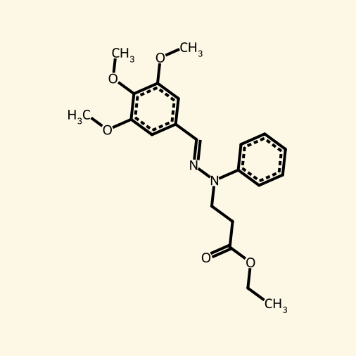 CCOC(=O)CCN(N=Cc1cc(OC)c(OC)c(OC)c1)c1ccccc1